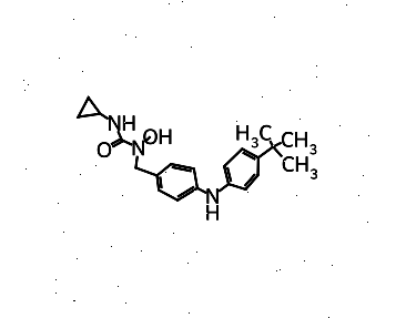 CC(C)(C)c1ccc(Nc2ccc(CN(O)C(=O)NC3CC3)cc2)cc1